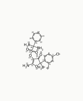 BC1(c2ccc(Cl)cc2F)OC(N)=C(OS(=O)(=O)C(B)(B)c2ccccc2)C1=O